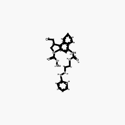 CC(C)(C)OC(=O)N1CC(CCl)c2c1cc(NC(=O)OCCSSc1ccccn1)c1ccccc21